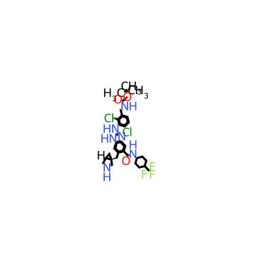 CC(C)(C)OC(=O)NCc1ccc(Cl)c(Nc2nc3cc(C(=O)NC4CCC(C(F)(F)F)CC4)c(C[C@@]45CNC[C@H]4C5)cc3[nH]2)c1Cl